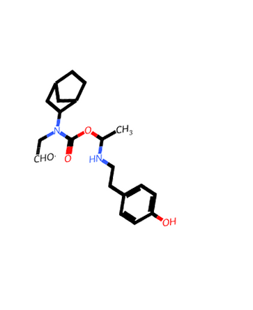 CC(NCCc1ccc(O)cc1)OC(=O)N(C[C]=O)C1CC2CCC1C2